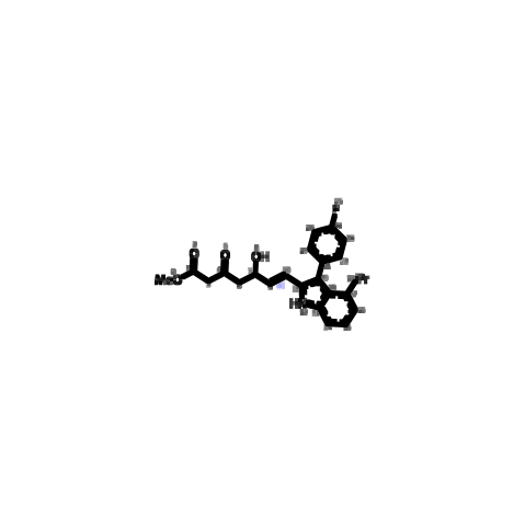 COC(=O)CC(=O)CC(O)/C=C/c1[nH]c2cccc(C(C)C)c2c1-c1ccc(F)cc1